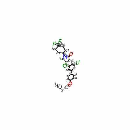 O=C(O)Oc1ccc(-c2cc(Cl)c(C[C@@H]3CCN(C4CCC(F)(F)CC4)C3=O)c(Cl)c2)cc1